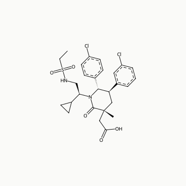 CCS(=O)(=O)NC[C@H](C1CC1)N1C(=O)[C@@](C)(CC(=O)O)C[C@H](c2cccc(Cl)c2)[C@H]1c1ccc(Cl)cc1